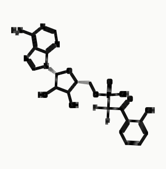 Nc1ncnc2c1ncn2[C@@H]1O[C@H](COP(=O)(O)C(F)(F)C(=O)c2ccccc2O)C(O)C1O